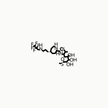 CSC1OC(C(NC(=O)C2CC[C@H](CCCNCC(F)(F)C(F)(F)F)CCN2)C(C)Cl)C(O)C(O)C1O